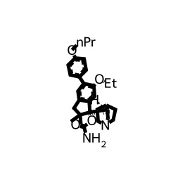 CCCOc1ccc(-c2cc3c(cc2OCC)[C@@](OC(N)=O)([C@@H]2CN4CCC2CC4)C(C)(C)C3)cc1